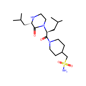 CC(C)C[C@@H]1NCCN([C@@H](CC(C)C)C(=O)N2CCC(CS(N)(=O)=O)CC2)C1=O